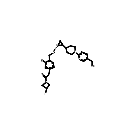 O=C(Cc1ccc(COC[C@@H]2CC2C2CCN(c3ncc(CO)cn3)CC2)c(F)c1)N1CC(F)C1